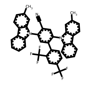 Cc1ccc2c3ccccc3n(-c3cc(-c4ccc(C(F)(F)F)cc4C(F)(F)F)c(-n4c5ccccc5c5ccc(C)cc54)cc3C#N)c2c1